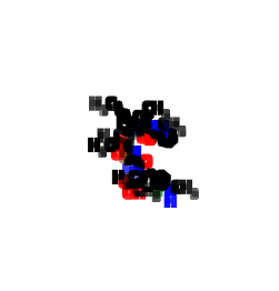 CCCCCCN(C(=O)[C@@H](NC(=O)[C@H]1CCCCN1C)[C@@H](C)CC)[C@H](C[C@@H](OC(C)=O)c1nc(C(=O)N[C@@H](Cc2ccc(NC)c(F)c2)CC(C)(C)C(=O)O)cs1)C(C)C